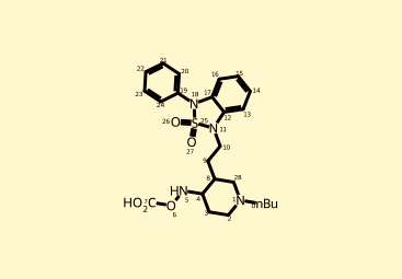 CCCCN1CCC(NOC(=O)O)C(CCN2c3ccccc3N(c3ccccc3)S2(=O)=O)C1